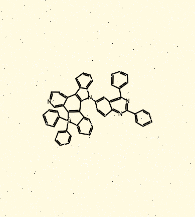 c1ccc(-c2nc(-c3ccccc3)c3cc(-n4c5ccccc5c5c6ccncc6c6c(c54)-c4ccccc4[Si]6(c4ccccc4)c4ccccc4)ccc3n2)cc1